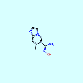 Cc1cc2nccn2cc1C(N)=NO